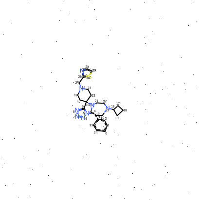 c1ccc(Cn2nnnc2C2(N3CCCN(C4CCC4)CC3)CCN(Cc3nccs3)CC2)cc1